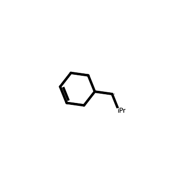 CC(C)[CH]C1CC=CCC1